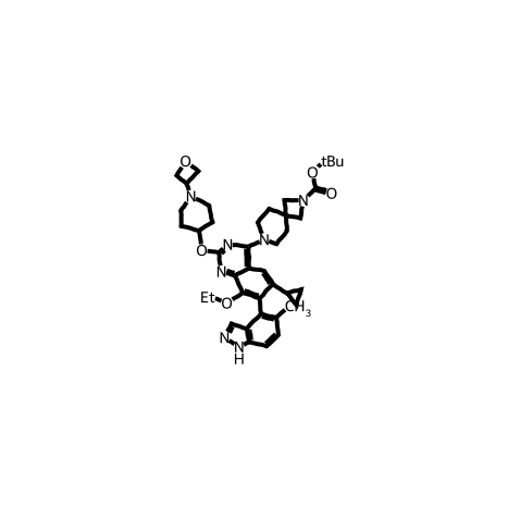 CCOc1c(-c2c(C)ccc3[nH]ncc23)c(C2CC2)cc2c(N3CCC4(CC3)CN(C(=O)OC(C)(C)C)C4)nc(OC3CCN(C4COC4)CC3)nc12